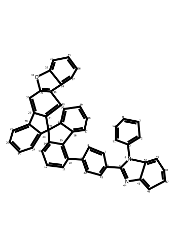 c1ccc(-n2c(-c3ccc(-c4cccc5c4-c4ccccc4C54c5ccccc5-c5cc6oc7ccccc7c6cc54)cc3)nc3ccccc32)cc1